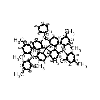 Cc1ccc(N(c2cccc(C3(c4cccc(N(c5ccc(C)cc5C)c5ccc(C)cc5C)c4)c4ccccc4N(c4ccccc4)c4ccccc43)c2)c2ccc(C)cc2C)c(C)c1